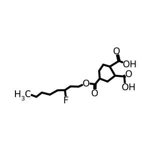 CCCCCC(F)CCOC(=O)C1CCC(C(=O)O)C(C(=O)O)C1